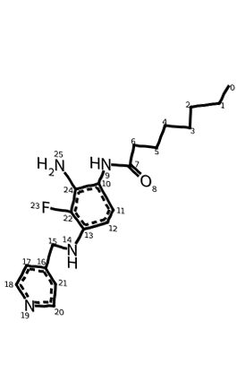 CCCCCCCC(=O)Nc1ccc(NCc2ccncc2)c(F)c1N